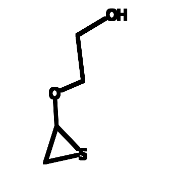 OCCOC1CS1